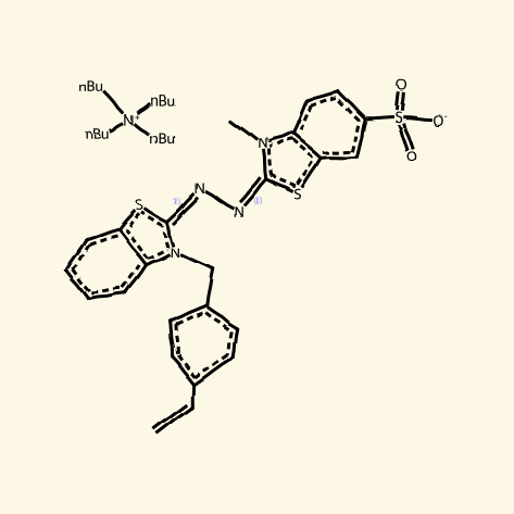 C=Cc1ccc(Cn2/c(=N\N=c3\sc4cc(S(=O)(=O)[O-])ccc4n3C)sc3ccccc32)cc1.CCCC[N+](CCCC)(CCCC)CCCC